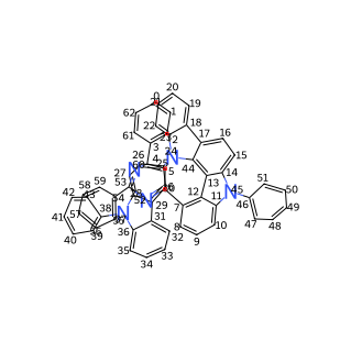 c1ccc(-c2cc(-c3cccc4c3c3c(ccc5c6ccccc6n(-c6ccc7c(c6)c6ccccc6n7-c6ccccc6)c53)n4-c3ccccc3)nc(-c3ccccc3)n2)cc1